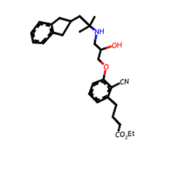 CCOC(=O)CCCc1cccc(OCC(O)CNC(C)(C)CC2Cc3ccccc3C2)c1C#N